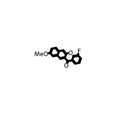 COc1ccc2cc3oc4c(F)cccc4c(=O)c3cc2c1